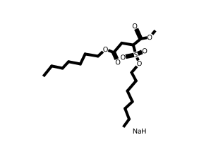 CCCCCCCOC(=O)CC(C(=O)OC)S(=O)(=O)OCCCCCCC.[NaH]